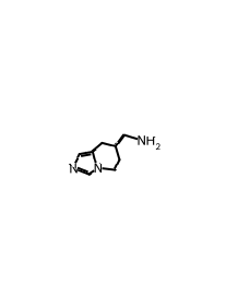 NCC1CCn2cncc2C1